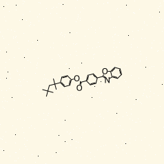 CC(C)(C)CC(C)(C)c1ccc(OC(=O)c2ccc(-c3nc4ccccc4o3)cc2)cc1